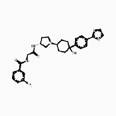 O=C(CNC(=O)c1cccc(C(F)(F)F)c1)N[C@@H]1CCN(C2CCC(O)(c3ccc(-c4ncco4)cc3)CC2)C1